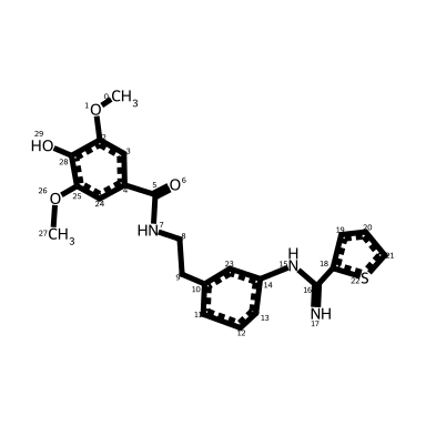 COc1cc(C(=O)NCCc2cccc(NC(=N)c3cccs3)c2)cc(OC)c1O